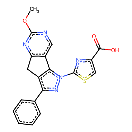 COc1ncc2c(n1)Cc1c(-c3ccccc3)nn(-c3nc(C(=O)O)cs3)c1-2